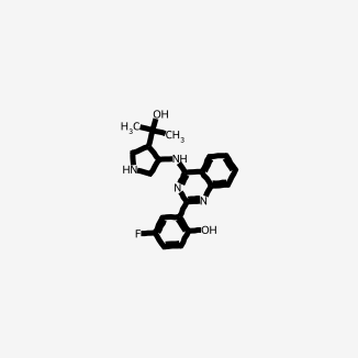 CC(C)(O)C1CNCC1Nc1nc(-c2cc(F)ccc2O)nc2ccccc12